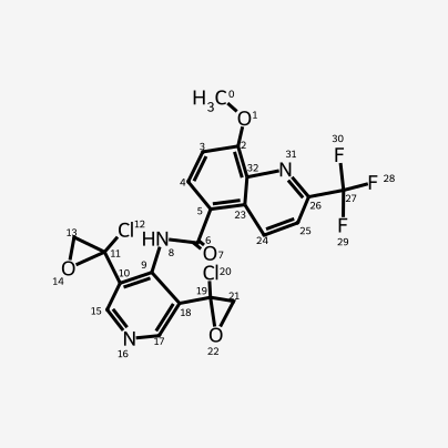 COc1ccc(C(=O)Nc2c(C3(Cl)CO3)cncc2C2(Cl)CO2)c2ccc(C(F)(F)F)nc12